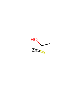 CCO.[S]=[Zn]